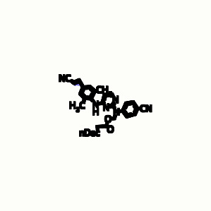 CCCCCCCCCCCC(=O)OCN(c1ccc(C#N)cc1)c1nccc(Nc2c(C)cc(/C=C/C#N)cc2C)n1